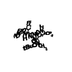 CCn1nccc1C(=O)N[C@H](c1cn2nc(C[C@H]3C[C@@H](C(F)(F)F)CNC3=O)c(CN(C)C(=O)OC(C)(C)C)nc2n1)C1CCC(F)(F)CC1